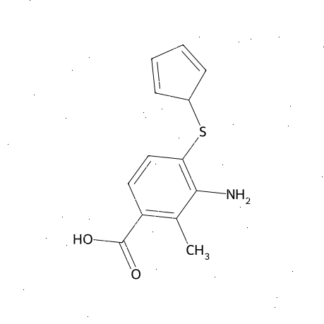 Cc1c(C(=O)O)ccc(SC2C=CC=C2)c1N